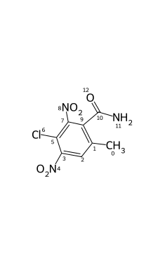 Cc1cc([N+](=O)[O-])c(Cl)c([N+](=O)[O-])c1C(N)=O